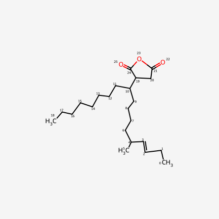 CCC=CC(C)CCCCC(CCCCCCCC)C1CC(=O)OC1=O